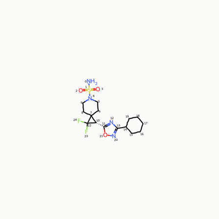 NS(=O)(=O)N1CCC2(CC1)[C@H](c1nc(C3CCCCC3)no1)C2(F)F